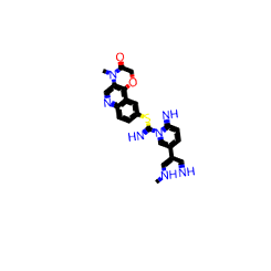 CN/C=C(\C=N)c1ccc(=N)n(C(=N)Sc2ccc3ncc4c(c3c2)OCC(=O)N4C)c1